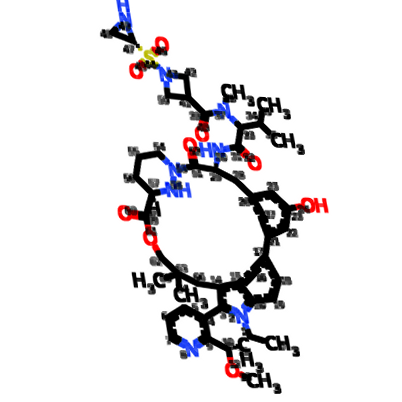 CCn1c(-c2cccnc2[C@H](C)OC)c2c3cc(ccc31)-c1cc(O)cc(c1)C[C@H](NC(=O)C(C(C)C)N(C)C(=O)C1CN(S(=O)(=O)[C@@H]3CN3)C1)C(=O)N1CCC[C@H](N1)C(=O)OCC(C)(C)C2